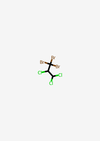 ClC(Cl)C(Cl)C(Br)(Br)Br